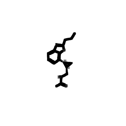 CCCc1nc2cccc([C@@H]3C[C@H]3CNC(C)=O)c2o1